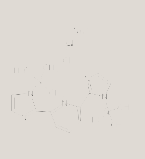 C[Si](C)(C)n1ccnc1-c1cccc(-c2nccn2[Si](C)(C)C)n1.[Cl-].[Cl-].[Cl-].[Nd+3]